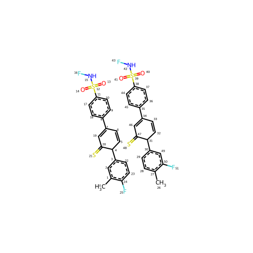 Cc1cc(C2C=CC(c3ccc(S(=O)(=O)NF)cc3)=CC2=S)ccc1F.Cc1ccc(C2C=CC(c3ccc(S(=O)(=O)NF)cc3)=CC2=S)cc1F